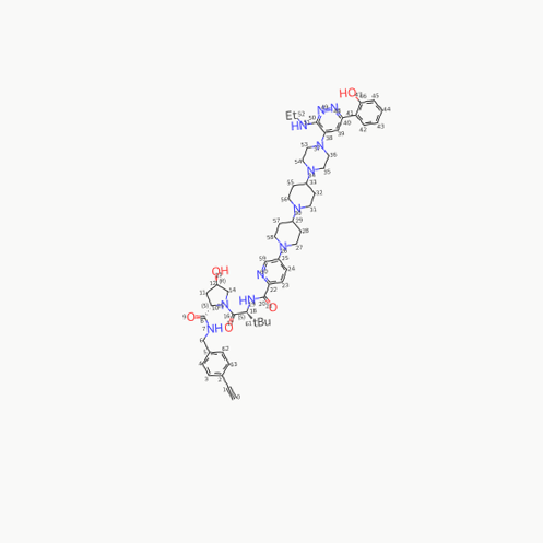 C#Cc1ccc(CNC(=O)[C@@H]2C[C@@H](O)CN2C(=O)[C@@H](NC(=O)c2ccc(N3CCC(N4CCC(N5CCN(c6cc(-c7ccccc7O)nnc6NCC)CC5)CC4)CC3)cn2)C(C)(C)C)cc1